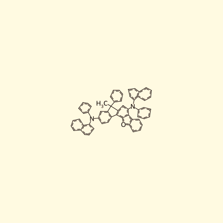 CC1(c2ccccc2)c2cc(N(c3ccccc3)c3cccc4ccccc34)ccc2-c2c1cc(N(c1ccccc1)c1cccc3ccccc13)c1c2oc2ccccc21